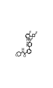 O=C(NC1CCOCC1)c1cccc(-c2ccc(NC[C@]3(c4ncccc4F)C[C@H](F)C3)nn2)c1